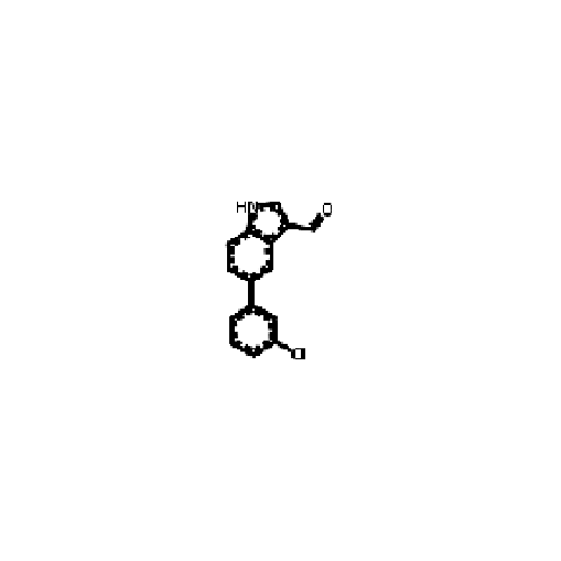 O=Cc1c[nH]c2ccc(-c3cccc(Cl)c3)cc12